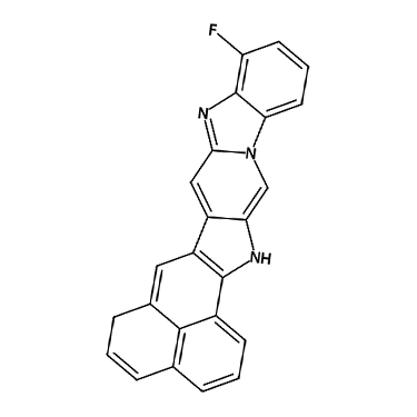 Fc1cccc2c1nc1cc3c(cn12)[nH]c1c2cccc4c2c(cc31)CC=C4